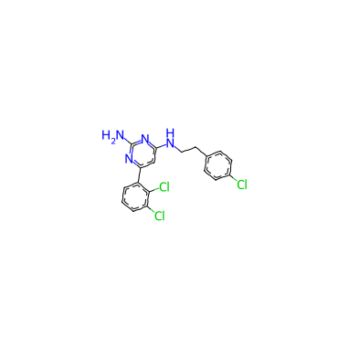 Nc1nc(NCCc2ccc(Cl)cc2)cc(-c2cccc(Cl)c2Cl)n1